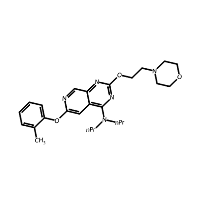 CCCN(CCC)c1nc(OCCN2CCOCC2)nc2cnc(Oc3ccccc3C)cc12